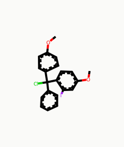 COc1ccc(C(Cl)(c2ccccc2)c2ccc(OC)cc2I)cc1